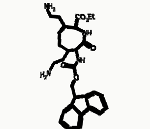 CCOC(=O)C1NC(=O)C(NC(=O)OCC2c3ccccc3-c3ccccc32)C(CCN)CCC1CCN